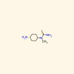 CN(C(N)=S)[C@H]1CC[C@H](N)CC1